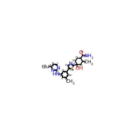 Cc1cc(Nc2nccc(C(C)(C)C)n2)cc(-c2cnc(C3(O)CCC(C(N)=O)C(C)C3)s2)c1